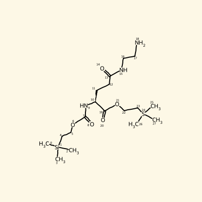 C[Si](C)(C)CCOC(=O)N[C@@H](CCC(=O)NCCN)C(=O)OCCS(C)(C)C